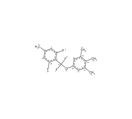 Cc1cc(F)c(C(F)(F)Oc2cc(C)c(C)c(C)c2)c(F)c1